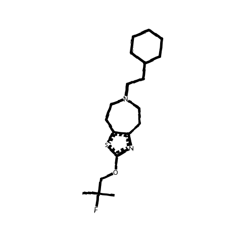 CC(C)(F)COc1nc2c(s1)CCN(CCC1CCCCC1)CC2